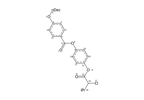 CCCCCCCCCCOc1ccc(C(=O)Oc2ccc(OC(=O)C(Cl)C(C)C)cc2)cc1